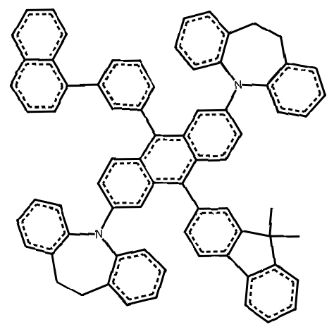 CC1(C)c2ccccc2-c2ccc(-c3c4ccc(N5c6ccccc6CCc6ccccc65)cc4c(-c4cccc(-c5cccc6ccccc56)c4)c4ccc(N5c6ccccc6CCc6ccccc65)cc34)cc21